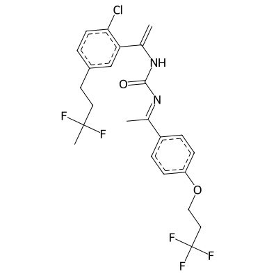 C=C(NC(=O)/N=C(\C)c1ccc(OCCC(F)(F)F)cc1)c1cc(CCC(C)(F)F)ccc1Cl